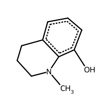 CN1CCCc2cccc(O)c21